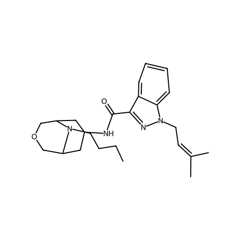 CCCCN1C2COCC1CC(NC(=O)c1nn(CC=C(C)C)c3ccccc13)C2